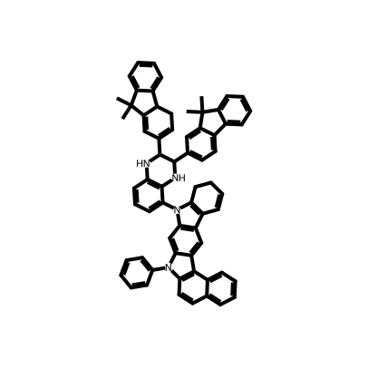 CC1(C)C2=CC(C3Nc4cccc(-n5c6c(c7cc8c9c%10ccccc%10ccc9n(-c9ccccc9)c8cc75)C=CCC6)c4NC3c3ccc4c(c3)C(C)(C)c3ccccc3-4)=CCC2c2ccccc21